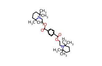 CC1(C)CCCC(C)(C)N1CCOC(=O)c1ccc(C(=O)OCCN2C(C)(C)CCCC2(C)C)cc1